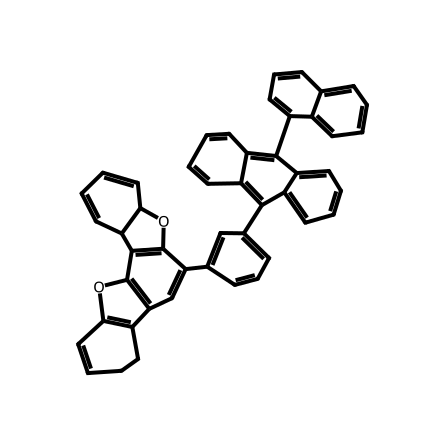 C1=CC2Oc3c(-c4cccc(-c5c6ccccc6c(-c6cccc7ccccc67)c6ccccc56)c4)cc4c5c(oc4c3C2C=C1)C=CCC5